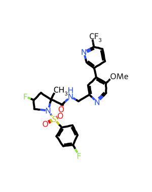 COc1cnc(CNC(=O)C2(C)CC(F)CN2S(=O)(=O)c2ccc(F)cc2)cc1-c1ccc(C(F)(F)F)nc1